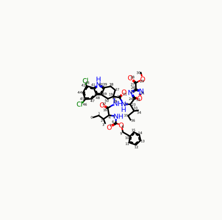 CCC(C)C(NC(=O)OCc1ccccc1)C(=O)N[C@]1(C(=O)NC(c2nc(C(=O)OC)no2)C(C)CC)CCc2[nH]c3c(Cl)cc(Cl)cc3c2C1